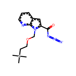 C[Si](C)(C)CCOCn1c(C(=O)N=[N+]=[N-])cc2cccnc21